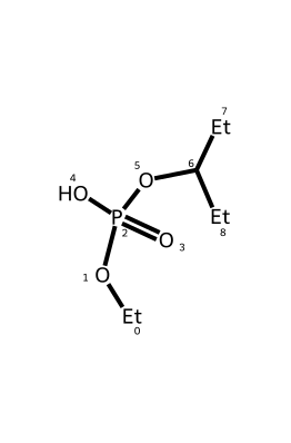 CCOP(=O)(O)OC(CC)CC